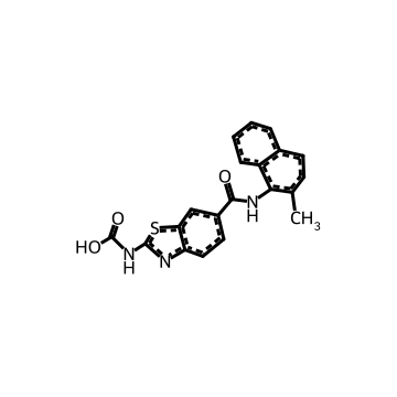 Cc1ccc2ccccc2c1NC(=O)c1ccc2nc(NC(=O)O)sc2c1